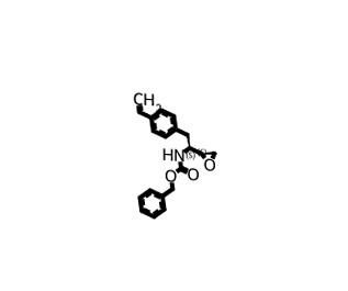 C=Cc1ccc(C[C@H](NC(=O)OCc2ccccc2)[C@H]2CO2)cc1